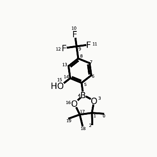 CC1(C)OB(c2ccc(C(F)(F)F)cc2O)OC1(C)C